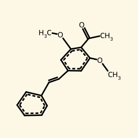 COc1cc(/C=C/c2ccccc2)cc(OC)c1C(C)=O